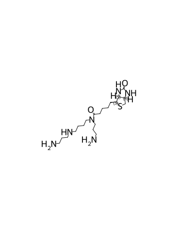 NCCCNCCCCN(CCCN)C(=O)CCCC[C@@H]1SC[C@@H]2NC(=O)N[C@@H]21